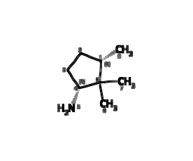 C[C@H]1CC[C@@H](N)C1(C)C